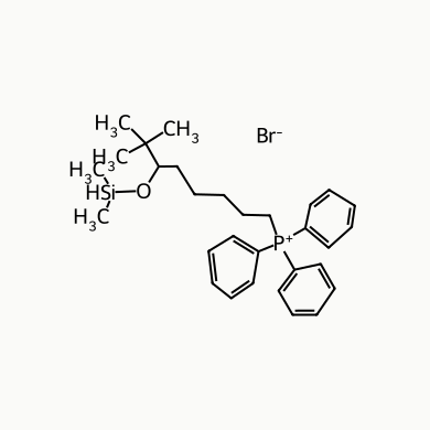 C[SiH](C)OC(CCCCC[P+](c1ccccc1)(c1ccccc1)c1ccccc1)C(C)(C)C.[Br-]